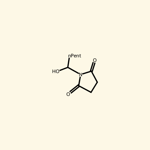 CCCCCC(O)N1C(=O)CCC1=O